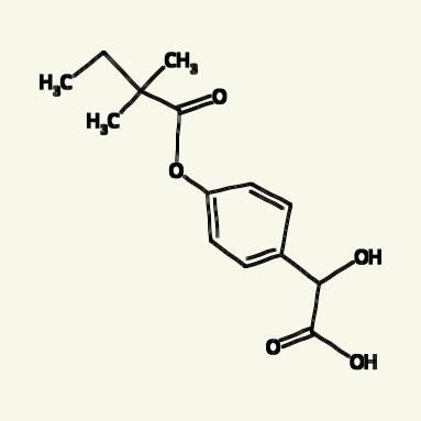 CCC(C)(C)C(=O)Oc1ccc(C(O)C(=O)O)cc1